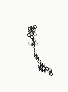 Nc1ncnc2c1c(-c1ccc(Oc3ccccc3)cc1)nn2[C@H]1CC[C@H](N2CCN(CCCCCCNC(=O)COc3cc4c5c(cccc5c3)C(=O)N(C3CCC(=O)NC3=O)C4=O)CC2)CC1